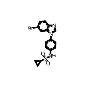 O=S(=O)(Nc1ccc(-n2cnc3ccc(Br)cc32)cc1)C1CC1